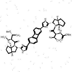 COC(=O)N[C@H](C(=O)N1[C@H](c2nc(-c3ccc4c(c3)-c3ccc(-c5c[nH]c([C@@H]6C[C@@H]7CCC[C@@H]7N6C(=O)[C@@H](NC(=O)O)[C@@H](C)OC)n5)cc3-4)c[nH]2)C[C@@H]2CCC[C@@H]21)[C@@H](C)O